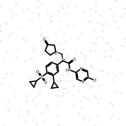 O=C1CC[C@H](C[C@@H](C(=O)Nc2cnc(Cl)cn2)c2ccc(S(=O)(=O)C3CC3)c(C3CC3)c2)C1